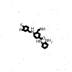 N=Cc1cc(C(=O)Nc2ccccc2N)ccc1NCc1ccc(F)c(F)c1